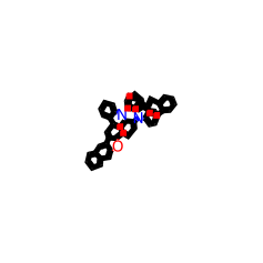 c1cc(-c2ccc3ccccc3c2)cc(N(c2ccccc2-c2ccc3oc4cc5ccccc5cc4c3c2)c2ccccc2-n2c3ccccc3c3ccccc32)c1